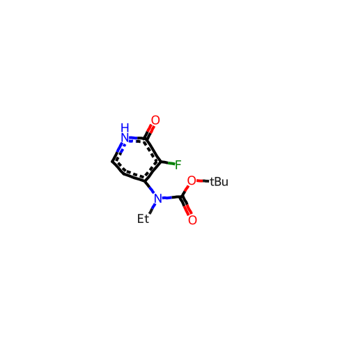 CCN(C(=O)OC(C)(C)C)c1cc[nH]c(=O)c1F